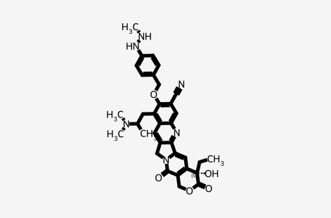 CC[C@@]1(O)C(=O)OCc2c1cc1n(c2=O)Cc2cc3c(CC(C)N(C)C)c(OCc4ccc(NNC)cc4)c(C#N)cc3nc2-1